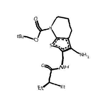 CCC(CC)C(=O)Nc1sc2c(c1N)CCCN2C(=O)OC(C)(C)C